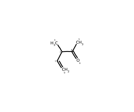 C=CC(C)C(C)=O